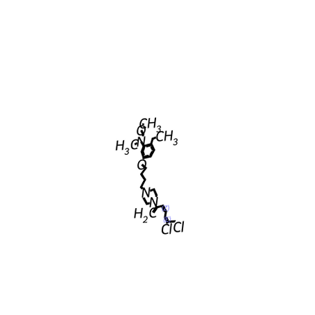 C=C(/C=C\C=C(\Cl)CCl)N1CCN(CCCCOc2ccc(CC)c(N(C)COC)c2)CC1